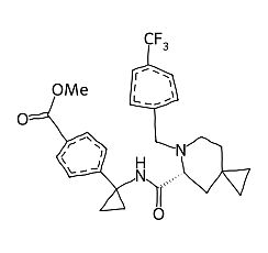 COC(=O)c1ccc(C2(NC(=O)[C@H]3CC4(CCN3Cc3ccc(C(F)(F)F)cc3)CC4)CC2)cc1